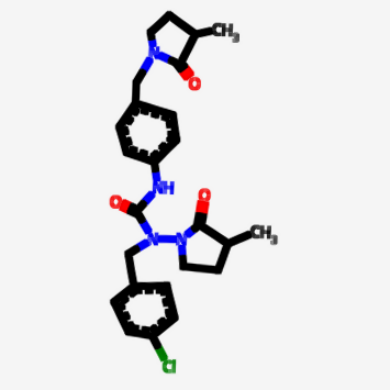 CC1CCN(Cc2ccc(NC(=O)N(Cc3ccc(Cl)cc3)N3CCC(C)C3=O)cc2)C1=O